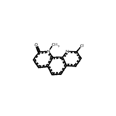 Cn1c(=O)ccc2ccc3ccc(Cl)nc3c21